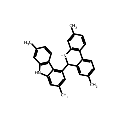 Cc1ccc2c(c1)NC(c1cc(C)cc3[nH]c4cc(C)ccc4c13)c1cc(C)ccc1-2